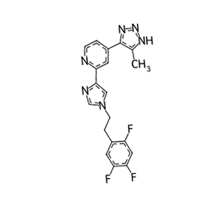 Cc1[nH]nnc1-c1ccnc(-c2cn(CCc3cc(F)c(F)cc3F)cn2)c1